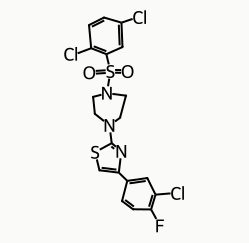 O=S(=O)(c1cc(Cl)ccc1Cl)N1CCN(c2nc(-c3ccc(F)c(Cl)c3)cs2)CC1